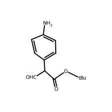 CC(C)(C)OC(=O)C(C=O)c1ccc(N)cc1